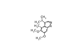 COc1cc2nncc(C(C)C)c2c(C)c1OC